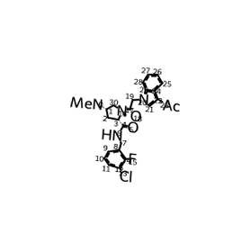 CN[C@H]1C[C@@H](C(=O)NCc2cccc(Cl)c2F)N(C(=O)Cn2cc(C(C)=O)c3ccccc32)C1